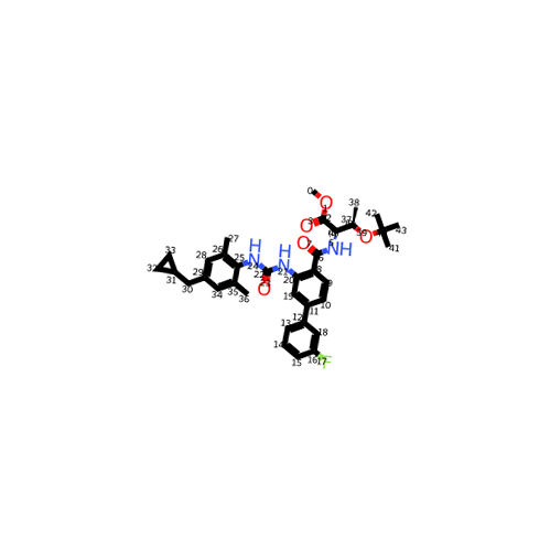 COC(=O)[C@@H](NC(=O)c1ccc(-c2cccc(F)c2)cc1NC(=O)Nc1c(C)cc(CC2CC2)cc1C)[C@@H](C)OC(C)(C)C